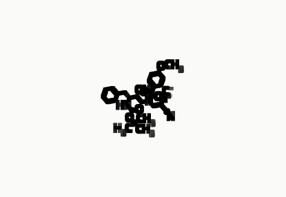 [C-]#[N+]/C(C#N)=C\N(C[C@@H](O)[C@H](Cc1ccccc1)NC(=O)OC(C)(C)C)S(=O)(=O)c1ccc(OC)cc1